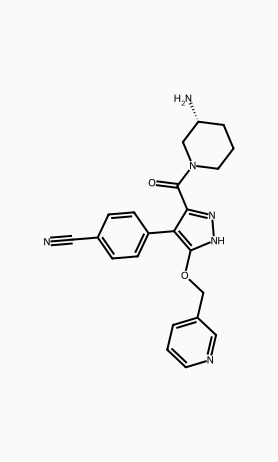 N#Cc1ccc(-c2c(C(=O)N3CCC[C@@H](N)C3)n[nH]c2OCc2cccnc2)cc1